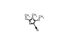 COc1nc(C#N)c(OC)n1C